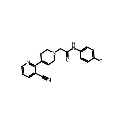 N#Cc1cccnc1C1=CCN(CC(=O)Nc2ccc(F)cc2)CC1